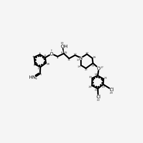 N=Cc1cccc(OC[C@@H](O)CCN2CCC(Oc3ccc(Cl)c(Cl)c3)CC2)c1